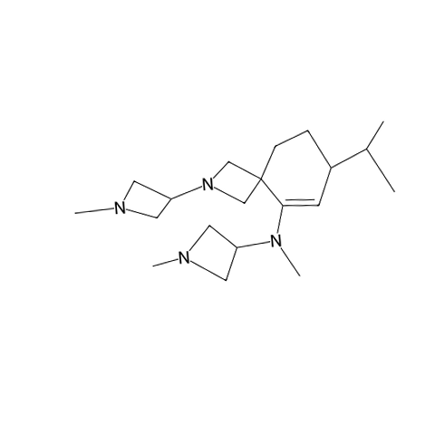 CC(C)C1C=C(N(C)C2CN(C)C2)C2(CC1)CN(C1CN(C)C1)C2